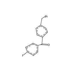 CC(C)Cc1ccc(C(=O)c2ccc(F)cc2)cc1